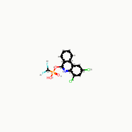 O=P(O)(Oc1nc2c(Cl)cc(Cl)cc2c2ccccc12)C(F)F